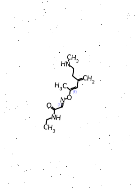 C=C(/C=C(\C)O/N=C/C(=O)NCC)CCNC